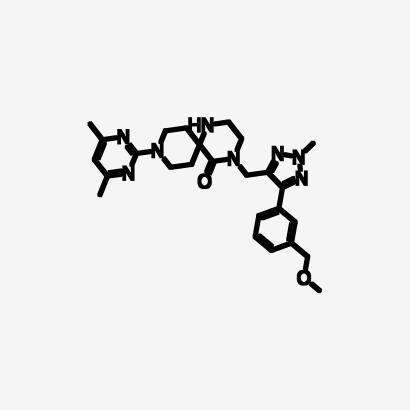 COCc1cccc(-c2nn(C)nc2CN2CCNC3(CCN(c4nc(C)cc(C)n4)CC3)C2=O)c1